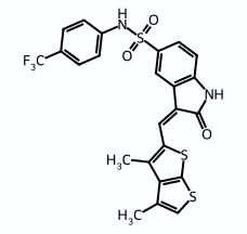 Cc1csc2sc(C=C3C(=O)Nc4ccc(S(=O)(=O)Nc5ccc(C(F)(F)F)cc5)cc43)c(C)c12